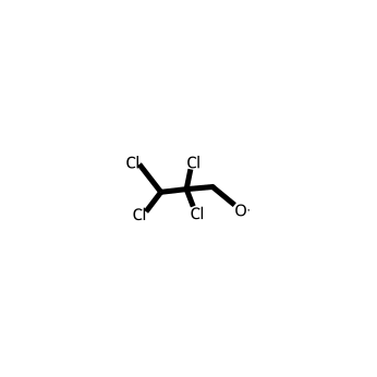 [O]CC(Cl)(Cl)C(Cl)Cl